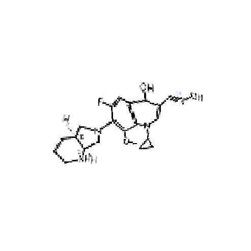 COc1c(N2C[C@@H]3CCCN[C@@H]3C2)c(F)cc2c1N(C1CC1)C=C(/C=N/O)C2O